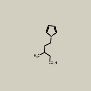 CC(CCn1cccc1)CC(=O)O